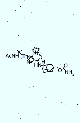 CC(=O)NC(C)(C)/C=C/n1ncc(C(=O)N[C@H]2C3CC4CC2C[C@](COC(N)=O)(C4)C3)c1-n1cccn1